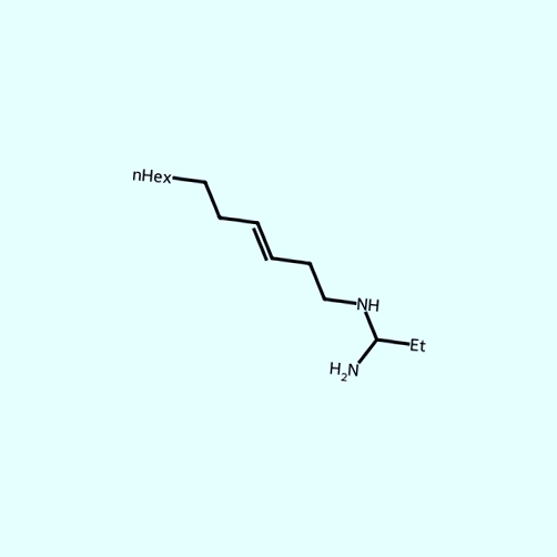 CCCCCCCCC=CCCNC(N)CC